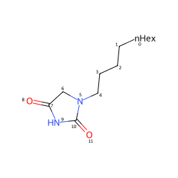 CCCCCCCCCCN1CC(=O)NC1=O